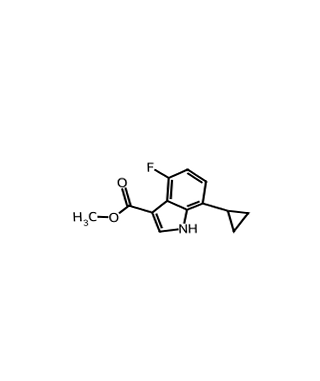 COC(=O)c1c[nH]c2c(C3CC3)ccc(F)c12